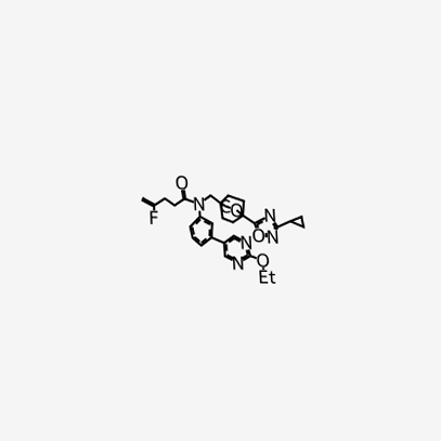 C=C(F)CCC(=O)N(CC12CCC(c3nc(C4CC4)no3)(CC1)OC2)c1cccc(-c2cnc(OCC)nc2)c1